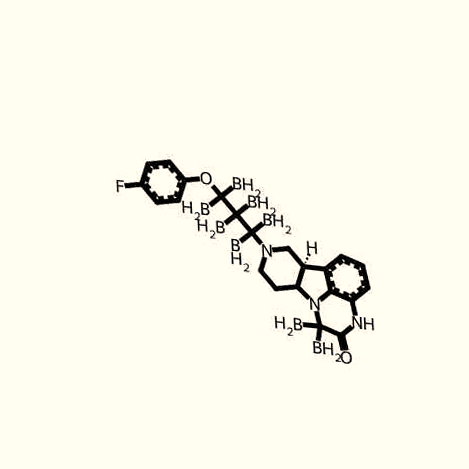 BC1(B)C(=O)Nc2cccc3c2N1C1CCN(C(B)(B)C(B)(B)C(B)(B)Oc2ccc(F)cc2)C[C@@H]31